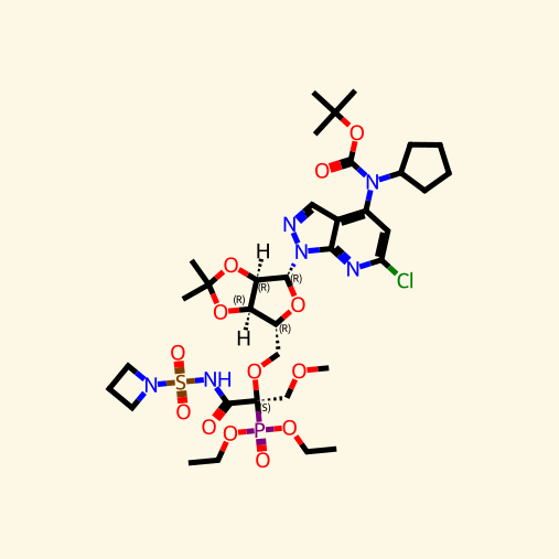 CCOP(=O)(OCC)[C@](COC)(OC[C@H]1O[C@@H](n2ncc3c(N(C(=O)OC(C)(C)C)C4CCCC4)cc(Cl)nc32)[C@@H]2OC(C)(C)O[C@@H]21)C(=O)NS(=O)(=O)N1CCC1